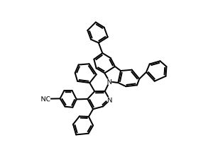 N#Cc1ccc(-c2c(-c3ccccc3)cnc(-n3c4ccc(-c5ccccc5)cc4c4cc(-c5ccccc5)ccc43)c2-c2ccccc2)cc1